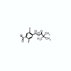 CC(C)(C)C(=O)NNc1cc(F)c([N+](=O)[O-])cc1F